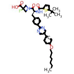 CCCCCCCOc1ccc(-c2cnc(-c3ccc(C[C@H](NC(=O)c4ccc(C(C)(C)C)s4)C(=O)N4CC(F)(C(=O)O)C4)cc3)nc2)cc1